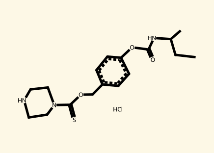 CCC(C)NC(=O)Oc1ccc(COC(=S)N2CCNCC2)cc1.Cl